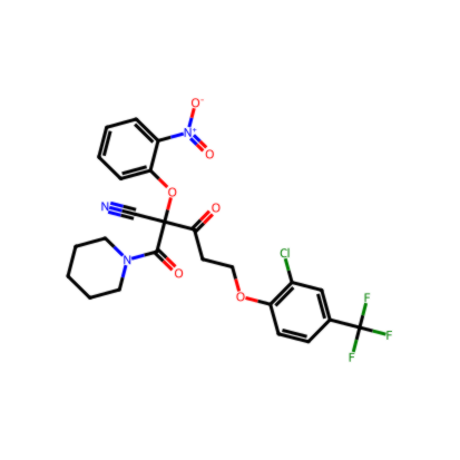 N#CC(Oc1ccccc1[N+](=O)[O-])(C(=O)CCOc1ccc(C(F)(F)F)cc1Cl)C(=O)N1CCCCC1